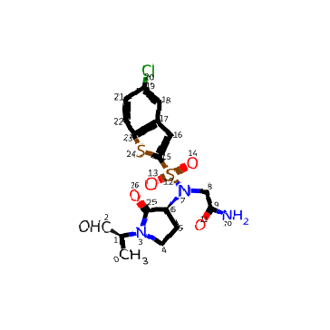 C[C@@H](C=O)N1CC[C@H](N(CC(N)=O)S(=O)(=O)c2cc3cc(Cl)ccc3s2)C1=O